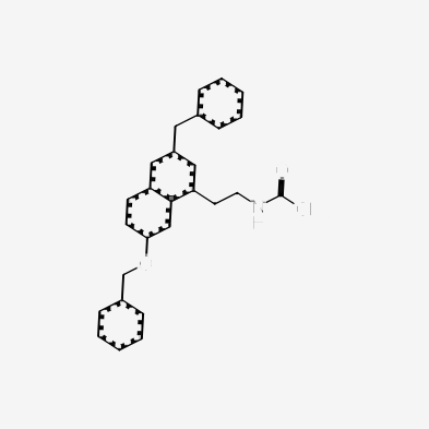 CC(=O)NCCc1cc(Cc2ccccc2)cc2ccc(OCc3ccccc3)cc12